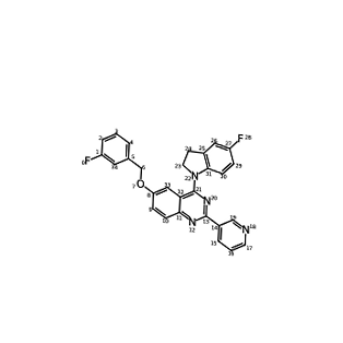 Fc1cccc(COc2ccc3nc(-c4cccnc4)nc(N4CCc5cc(F)ccc54)c3c2)c1